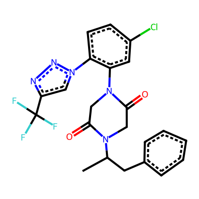 CC(Cc1ccccc1)N1CC(=O)N(c2cc(Cl)ccc2-n2cc(C(F)(F)F)nn2)CC1=O